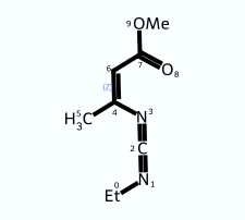 CCN=C=N/C(C)=C\C(=O)OC